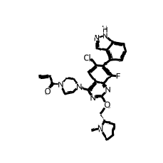 C=CC(=O)N1CCN(c2nc(OC[C@@H]3CCCN3C)nc3c(F)c(-c4cccc5[nH]ncc45)c(Cl)cc23)CC1